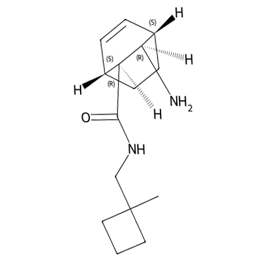 CC1(CNC(=O)[C@@H]2[C@H](N)[C@@H]3C=C[C@H]2CC3)CCC1